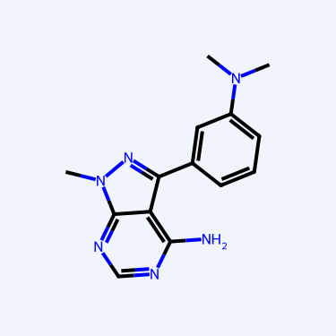 CN(C)c1cccc(-c2nn(C)c3ncnc(N)c23)c1